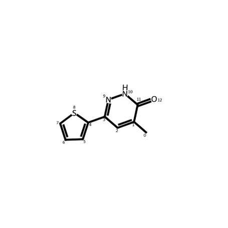 Cc1cc(-c2cccs2)n[nH]c1=O